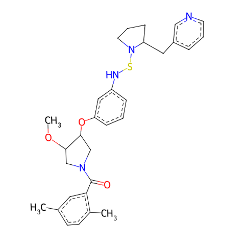 COC1CN(C(=O)c2cc(C)ccc2C)CC1Oc1cccc(NSN2CCCC2Cc2cccnc2)c1